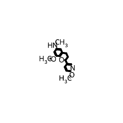 CNc1cc2c(c(OC)c1)OC(c1ccc(OC)nc1)CC2